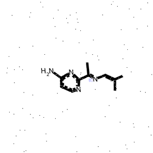 CC(C)=C/N=C(\C)c1nccc(N)n1